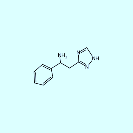 NC(Cc1nc[nH]n1)c1ccccc1